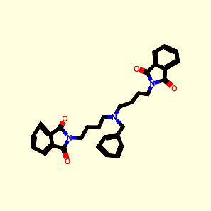 O=C1c2ccccc2C(=O)N1CCCCN(CCCCN1C(=O)c2ccccc2C1=O)Cc1ccccc1